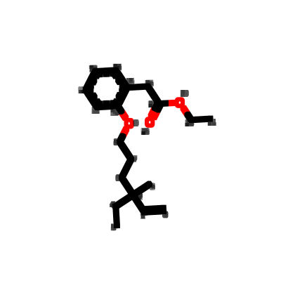 C=CC(C)(CC)CCCOc1ccccc1CC(=O)OCC